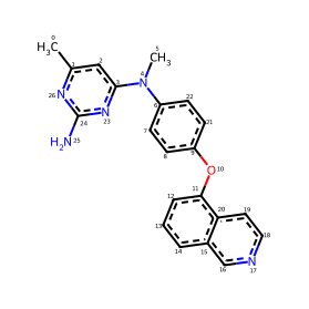 Cc1cc(N(C)c2ccc(Oc3cccc4cnccc34)cc2)nc(N)n1